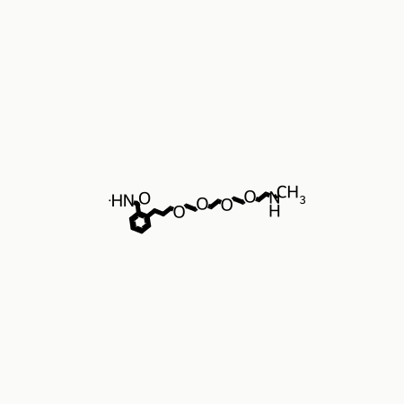 CNCCOCCOCCOCCOCCCc1ccccc1C([NH])=O